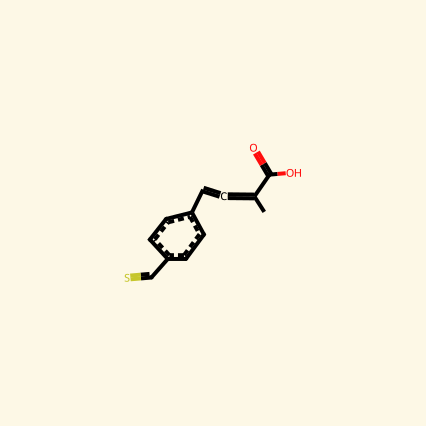 CC(=C=Cc1ccc(C=S)cc1)C(=O)O